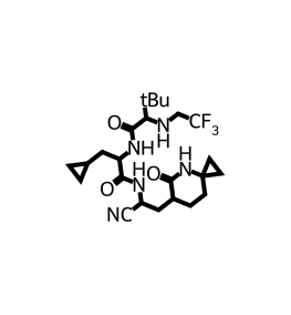 CC(C)(C)C(NCC(F)(F)F)C(=O)NC(CC1CC1)C(=O)NC(C#N)CC1CCC2(CC2)NC1=O